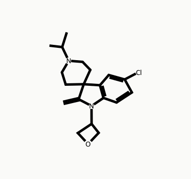 C=C1N(C2COC2)c2ccc(Cl)cc2C12CCN(C(C)C)CC2